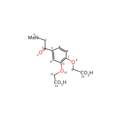 CNCC(=O)c1ccc(OCC(=O)O)c(OCC(=O)O)c1